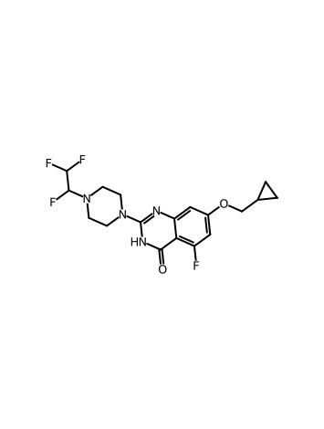 O=c1[nH]c(N2CCN(C(F)C(F)F)CC2)nc2cc(OCC3CC3)cc(F)c12